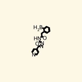 Bc1ccccc1CC(=O)Nc1nnc(-c2ccncc2)o1